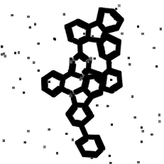 c1ccc(-c2ccc3c(c2)c2ccccc2n3-c2ccccc2-c2nc(-c3ccccc3-c3ccccc3)nc(-c3cccc4c3sc3ccccc34)n2)cc1